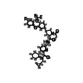 CC(=O)N1CC(c2ccc(OC(F)F)c(Oc3ccc(F)cc3)c2)C[C@@H]1C(=O)NCc1cccc(C(=O)N(CC2CC2)C2CCCCC2)n1